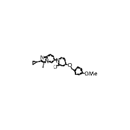 COc1ccc(COc2ccn(-c3ccc4nc(C5CC5)c(C)n4c3)c(=O)c2)cc1